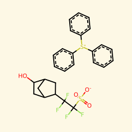 O=S(=O)([O-])C(F)(F)C(F)(F)C1CC2CC1CC2O.c1ccc([S+](c2ccccc2)c2ccccc2)cc1